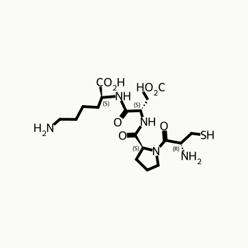 NCCCC[C@H](NC(=O)[C@H](CC(=O)O)NC(=O)[C@@H]1CCCN1C(=O)[C@@H](N)CS)C(=O)O